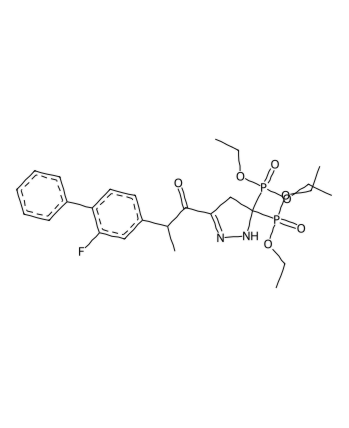 CCOP(=O)(OCC)C1(P(=O)(OCC)OCC)CC(C(=O)C(C)c2ccc(-c3ccccc3)c(F)c2)=NN1